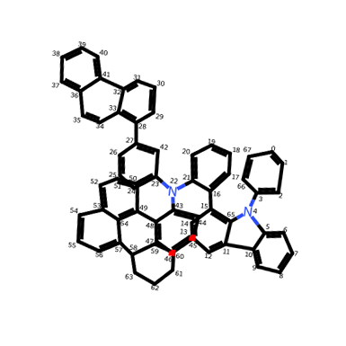 c1ccc(-n2c3ccccc3c3cccc(-c4ccccc4N(c4cccc(-c5cccc6c5ccc5ccccc56)c4)c4ccccc4-c4cccc5cccc(C6CCCCC6)c45)c32)cc1